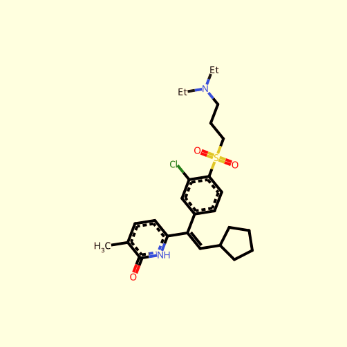 CCN(CC)CCCS(=O)(=O)c1ccc(/C(=C\C2CCCC2)c2ccc(C)c(=O)[nH]2)cc1Cl